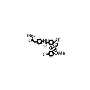 COc1ccc(Cl)cc1S(=O)(=O)N1CC[S+]([O-])c2ccc(C(=O)Nc3ccc(CC(=O)OC(C)(C)C)cc3)cc21